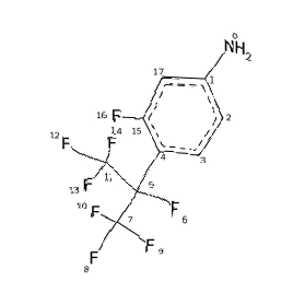 Nc1ccc(C(F)(C(F)(F)F)C(F)(F)F)c(F)c1